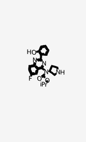 CC(C)OC(=O)N(c1nc(-c2ccccc2O)nc2ccc(F)cc12)[C@@H]1CCNC1